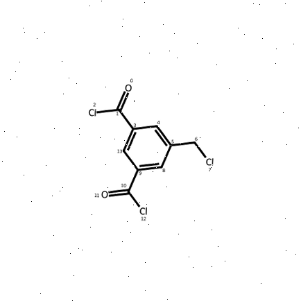 O=C(Cl)c1cc(CCl)cc(C(=O)Cl)c1